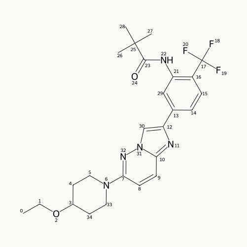 CCOC1CCN(c2ccc3nc(-c4ccc(C(F)(F)F)c(NC(=O)C(C)(C)C)c4)cn3n2)CC1